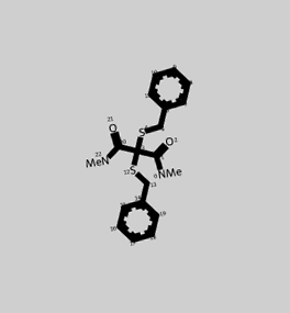 CNC(=O)C(SCc1ccccc1)(SCc1ccccc1)C(=O)NC